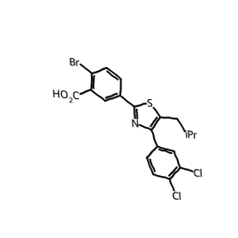 CC(C)Cc1sc(-c2ccc(Br)c(C(=O)O)c2)nc1-c1ccc(Cl)c(Cl)c1